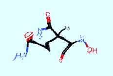 CCC(CC(N)=O)(C(N)=O)C(=O)NO